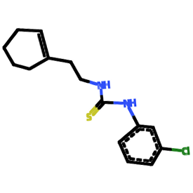 S=C(NCCC1=CCCCC1)Nc1cccc(Cl)c1